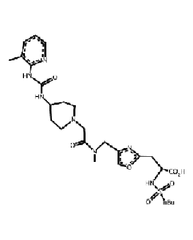 CCCCS(=O)(=O)NC(Cc1nc(CN(C)C(=O)CN2CCC(NC(=O)Nc3ncccc3C)CC2)co1)C(=O)O